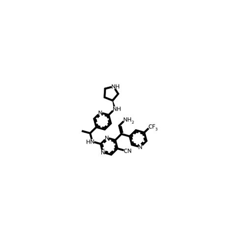 CC(Nc1ncc(C#N)c(/C(=C/N)c2cncc(C(F)(F)F)c2)n1)c1ccc(N[C@H]2CCNC2)nc1